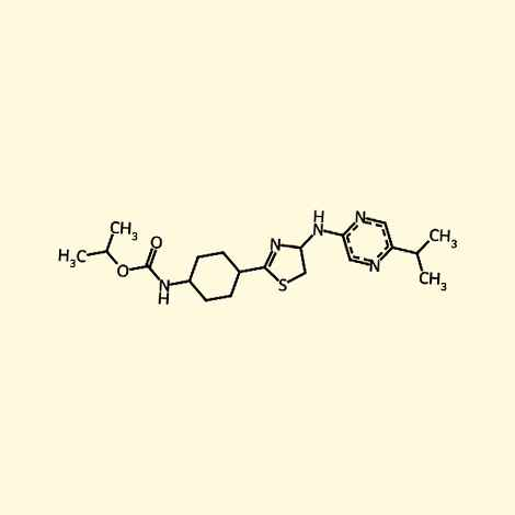 CC(C)OC(=O)NC1CCC(C2=NC(Nc3cnc(C(C)C)cn3)CS2)CC1